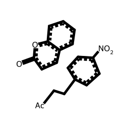 CC(=O)CCc1ccc([N+](=O)[O-])cc1.O=c1ccc2ccccc2o1